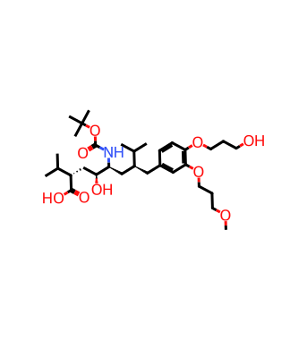 COCCCOc1cc(C[C@@H](C[C@H](NC(=O)OC(C)(C)C)[C@@H](O)C[C@H](C(=O)O)C(C)C)C(C)C)ccc1OCCCO